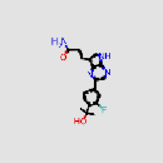 CC(C)(O)c1ccc(-c2cnc3[nH]cc(C=CC(N)=O)c3n2)cc1F